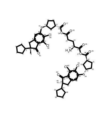 C[C@@]1(C2CCCC2)Cc2cc(S[C@H]3CC[C@H](C(=O)OC(=O)CC[C@H](N)C(=O)OC(=O)[C@H]4CC[C@H](Sc5cc6c(c(Cl)c5Cl)C(=O)[C@](C)(C5CCCC5)C6)C4)C3)c(Cl)c(Cl)c2C1=O